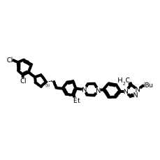 C=C1N(c2ccc(N3CCN(c4ccc(CC[C@@H]5CCC(c6ccc(Cl)cc6Cl)C5)cc4CC)CC3)cc2)C=NN1C(C)CC